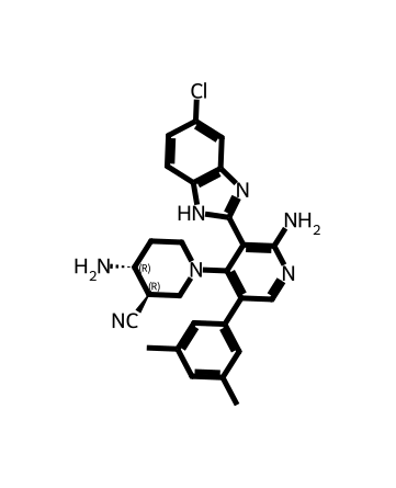 Cc1cc(C)cc(-c2cnc(N)c(-c3nc4cc(Cl)ccc4[nH]3)c2N2CC[C@@H](N)[C@H](C#N)C2)c1